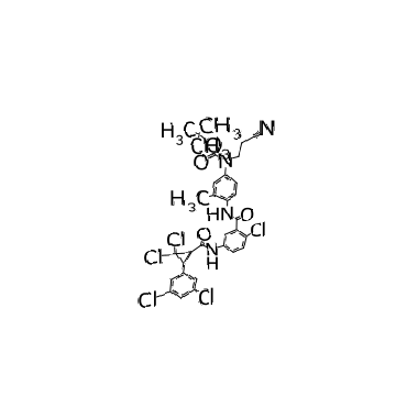 Cc1cc(N(CCC#N)C(=O)OC(C)(C)C)ccc1NC(=O)c1cc(NC(=O)C2C(c3cc(Cl)cc(Cl)c3)C2(Cl)Cl)ccc1Cl